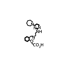 CN(CCNc1nccc(N2CCCCCC2)n1)Cc1ccccc1OCC(=O)O